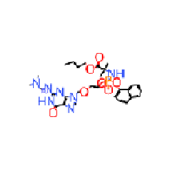 CCCCOC(=O)C(C)(C)NP(=O)(OCCOCn1cnc2c(=O)[nH]c(/N=C/N(C)C)nc21)Oc1cccc2ccccc12